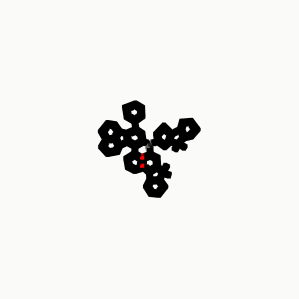 CC1(C)c2ccccc2-c2ccc(N(c3ccc4c(c3)C(C)(C)c3ccccc3-4)c3cc(-c4ccccc4)c4c(c3-c3ccccc3)-c3cccc5cccc-4c35)cc21